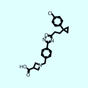 O=C(O)C1CN(Cc2ccc(-c3noc(CCC4(c5ccc(Cl)cc5)CC4)n3)cc2)C1